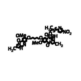 C=C1C[C@H]2C=Nc3cc(OCCCCCOc4cc5c(cc4OC)C(=O)N4CC(=C)C[C@H]4[C@H](O)N5C(=O)OCC(C)SSc4ccc([N+](=O)[O-])cn4)c(OC)cc3C(=O)N2C1